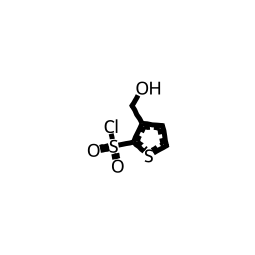 O=S(=O)(Cl)c1sccc1CO